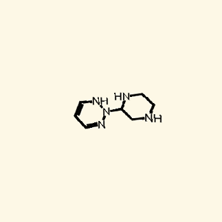 C1=CNN(C2CNCCN2)N=C1